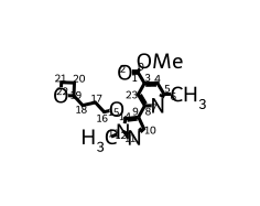 COC(=O)c1cc(C)nc(-c2cnn(C)c2OCCCC2CCO2)c1